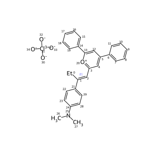 CC/C(=C\c1cc(-c2ccccc2)cc(-c2ccccc2)[o+]1)c1ccc(N(C)C)cc1.[O-][Cl+3]([O-])([O-])[O-]